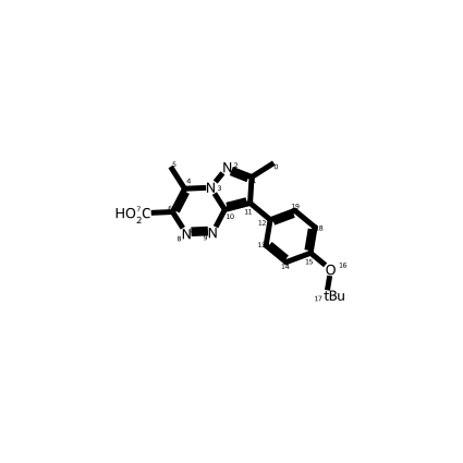 Cc1nn2c(C)c(C(=O)O)nnc2c1-c1ccc(OC(C)(C)C)cc1